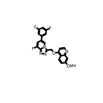 COc1ccc2c(OCc3nnc4c(F)cc(-c5cc(F)cc(F)c5)cn34)ccnc2c1